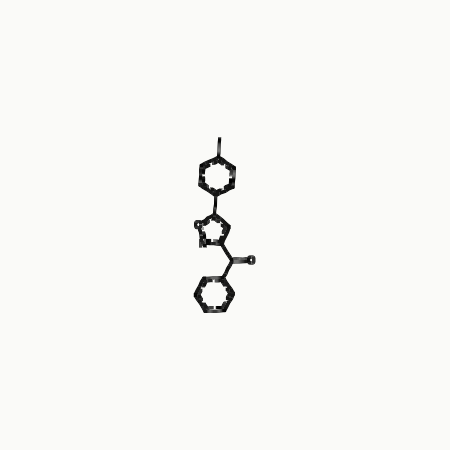 Cc1ccc(-c2cc(C(=O)c3ccccc3)no2)cc1